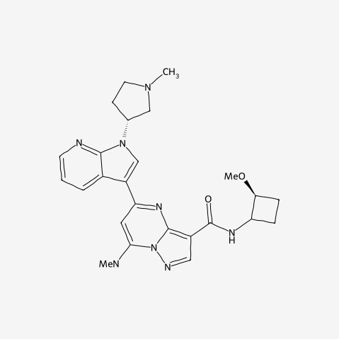 CNc1cc(-c2cn([C@@H]3CCN(C)C3)c3ncccc23)nc2c(C(=O)NC3CC[C@@H]3OC)cnn12